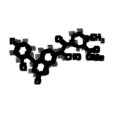 COC(=O)C1CN(C(=O)[C@@H](C=O)c2ccc3c(-c4ccc(F)cc4Cl)cc(=O)oc3c2)CCN1C